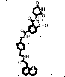 CN(C(=O)c1cc(C(=O)NCc2ccc(CNC(=O)Cc3cccc4cccnc34)cc2)ccc1C=O)C1CCC(=O)NC1=O